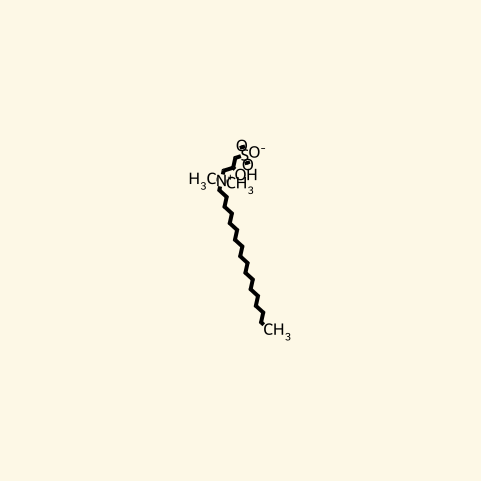 CCCCCCCCCCCCCCCCCC[N+](C)(C)CC(O)CS(=O)(=O)[O-]